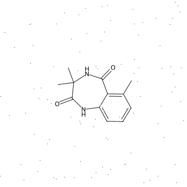 Cc1cccc2c1C(=O)NC(C)(C)C(=O)N2